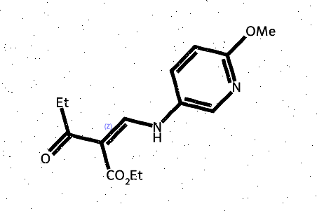 CCOC(=O)/C(=C\Nc1ccc(OC)nc1)C(=O)CC